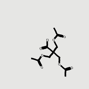 CC(=O)OCC(COC(C)=O)(COC(C)=O)C(=O)Cl